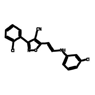 N#Cc1c(-c2ccccc2Cl)noc1C=CNc1cccc(Cl)c1